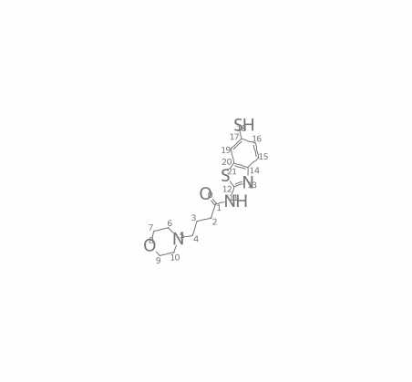 O=C(CCCN1CCOCC1)Nc1nc2ccc(S)cc2s1